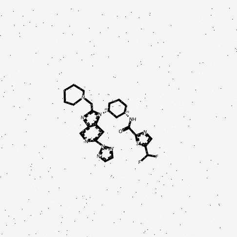 O=C(N[C@H]1CCC[C@@H](n2c(CN3CCCCC3)nc3cnc(-n4nccn4)cc32)C1)c1ncc(C(F)F)s1